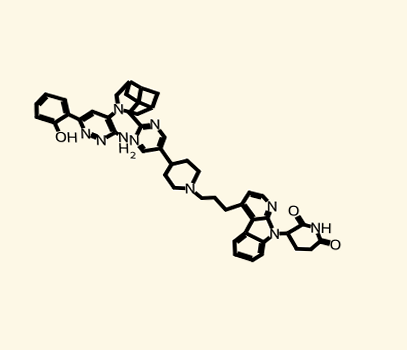 Nc1nnc(-c2ccccc2O)cc1N1CC2CC3(Cc4ncc(C5CCN(CCCc6ccnc7c6c6ccccc6n7C6CCC(=O)NC6=O)CC5)cn4)C(CC23)C1